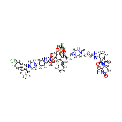 CC1(C)CCC(c2ccc(Cl)cc2)=C(CN2CCN(c3ccc(C(=O)NS(=O)(=O)c4ccc(N[C@H](CCN5CCN(CCOCCNc6cccc7c6C(=O)N(C6CCC(=O)NC6=O)C7=O)CC5)CSc5ccccc5)c(S(=O)(=O)C(F)(F)F)c4)cc3)CC2)C1